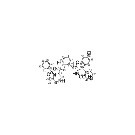 O=C(O)N[C@H](C(=O)Nc1cccc(F)c1CCC1CNCC2(CC2)N1S(=O)(=O)c1ccccc1)[C@@H](c1ccc(Cl)cc1)C1CCOCC1